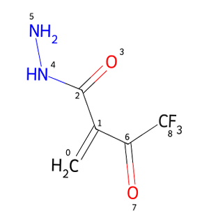 C=C(C(=O)NN)C(=O)C(F)(F)F